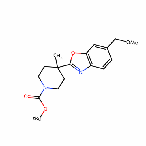 COCc1ccc2nc(C3(C)CCN(C(=O)OC(C)(C)C)CC3)oc2c1